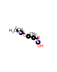 CC(C)(F)CN1CCC(COc2ccc(-c3ccc(C(=O)N4CCC(O)CC4)c(F)c3)c(C#N)c2)CC1